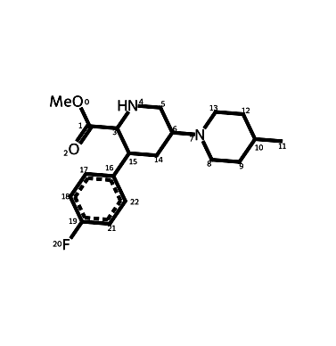 COC(=O)C1NCC(N2CCC(C)CC2)CC1c1ccc(F)cc1